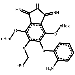 CCCCCCOc1c(SCC(C)(C)C)c(Sc2ccccc2N)c(OCCCCCC)c2c1C(=N)NC2=N